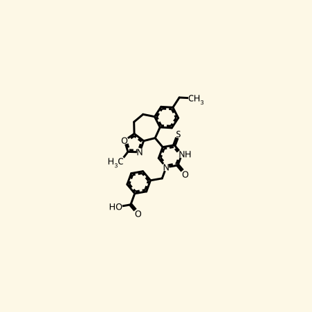 CCc1ccc2c(c1)CCc1oc(C)nc1C2c1cn(Cc2cccc(C(=O)O)c2)c(=O)[nH]c1=S